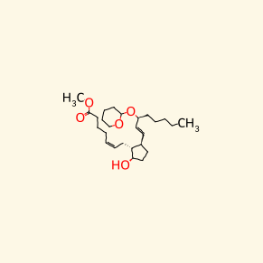 CCCCC[C@@H](/C=C/[C@H]1CC[C@@H](O)[C@@H]1C/C=C\CCCC(=O)OC)OC1CCCCO1